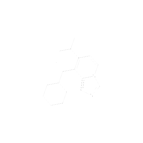 CC(C)c1ccn2cncc2c1[C@@H](O)C1CCCCC1